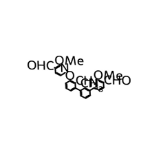 COc1nc(Oc2cccc(-c3cccc(-c4ccc(C=O)c(OC)n4)c3C)c2C)ccc1C=O